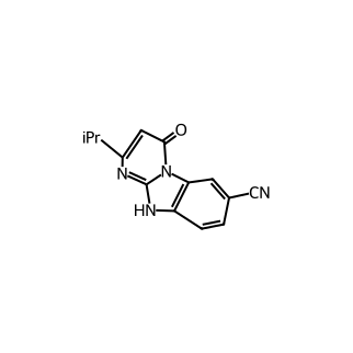 CC(C)c1cc(=O)n2c(n1)[nH]c1ccc(C#N)cc12